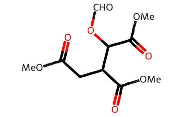 COC(=O)CC(C(=O)OC)C(OC=O)C(=O)OC